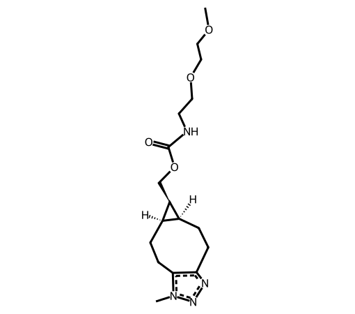 COCCOCCNC(=O)OC[C@@H]1[C@@H]2CCc3c(nnn3C)CC[C@@H]21